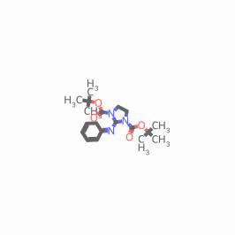 CC(C)(C)OC(=O)N1CCN(C(=O)OC(C)(C)C)C1N=C1C=CC=CC1